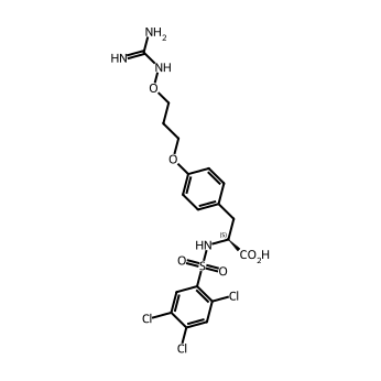 N=C(N)NOCCCOc1ccc(C[C@H](NS(=O)(=O)c2cc(Cl)c(Cl)cc2Cl)C(=O)O)cc1